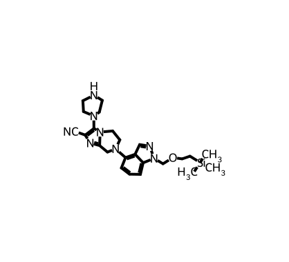 C[Si](C)(C)CCOCn1ncc2c(N3CCn4c(nc(C#N)c4N4CCNCC4)C3)cccc21